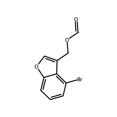 O=[C]OCc1coc2cccc(Br)c12